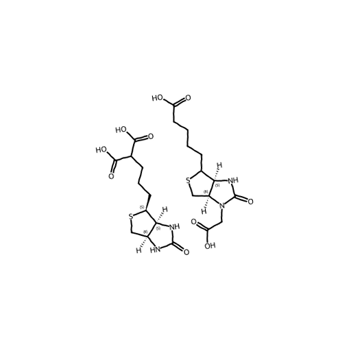 O=C(O)CCCCC1SC[C@H]2[C@@H]1NC(=O)N2CC(=O)O.O=C1N[C@H]2[C@H](CS[C@H]2CCCC(C(=O)O)C(=O)O)N1